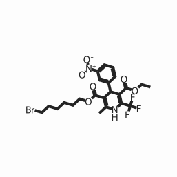 CCOC(=O)C1=C(C(F)(F)F)NC(C)=C(C(=O)OCCCCCCBr)C1c1cccc([N+](=O)[O-])c1